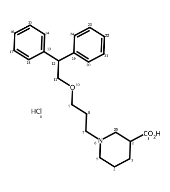 Cl.O=C(O)C1CCCN(CCCOCC(c2ccccc2)c2ccccc2)C1